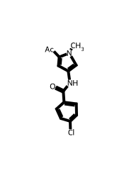 CC(=O)c1cc(NC(=O)c2ccc(Cl)cc2)cn1C